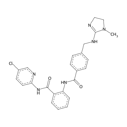 CN1CCN=C1NCc1ccc(C(=O)Nc2ccccc2C(=O)Nc2ccc(Cl)cn2)cc1